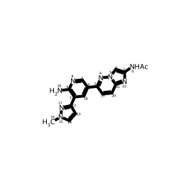 CC(=O)Nc1cn2nc(-c3cnc(N)c(-c4ccn(C)n4)c3)ccc2n1